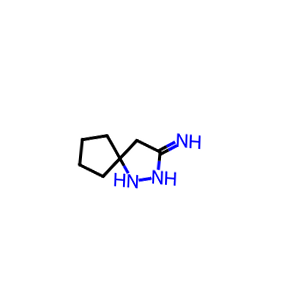 N=C1CC2(CCCC2)NN1